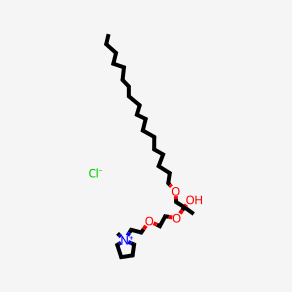 CCCCCCCCCCCCCCCCCCOCC(C)(O)OCCOCC[N+]1(C)CCCC1.[Cl-]